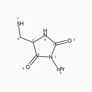 CCCN1C(=O)NC(CS)C1=O